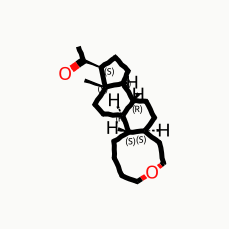 CC(=O)[C@H]1CC[C@H]2[C@@H]3CC[C@H]4CCOCCCC[C@@H]4[C@H]3CC[C@]12C